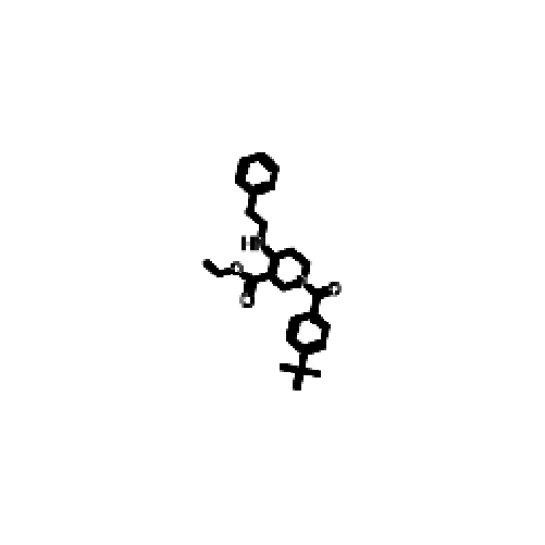 CCOC(=O)C1=C(NCCc2ccccc2)CCN(C(=O)c2ccc(C(C)(C)C)cc2)C1